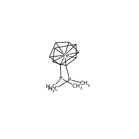 CP(C)[C]12[CH]3[CH]4[CH]5[CH]1[Fe]45321678[CH]2[CH]1[CH]6[C]7(P(C)C)[CH]28